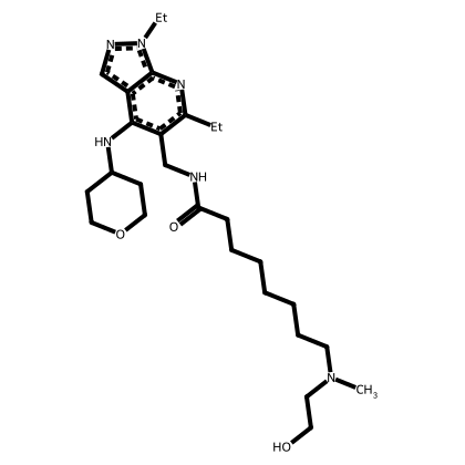 CCc1nc2c(cnn2CC)c(NC2CCOCC2)c1CNC(=O)CCCCCCCN(C)CCO